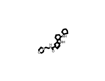 O=C(NCCN1CCOCC1)c1ccc2[nH]c3c(c2c1)CCCC3NC1CCCCC1